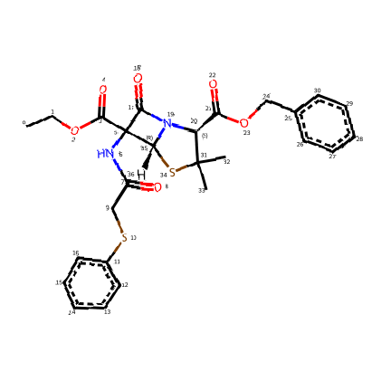 CCOC(=O)C1(NC(=O)CSc2ccccc2)C(=O)N2[C@@H](C(=O)OCc3ccccc3)C(C)(C)S[C@@H]21